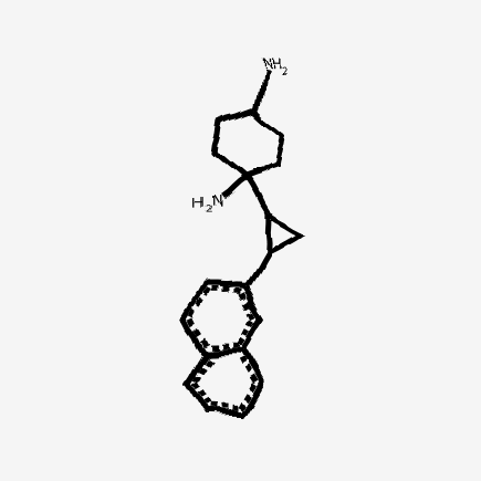 NC1CCC(N)(C2CC2c2ccc3ccccc3c2)CC1